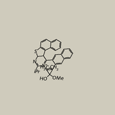 COC1(O)C2(C)c3cc4ccccc4cc3C3=[N+](C(C(C)C)=NC4Sc5ccc6ccccc6c5C34)C12C